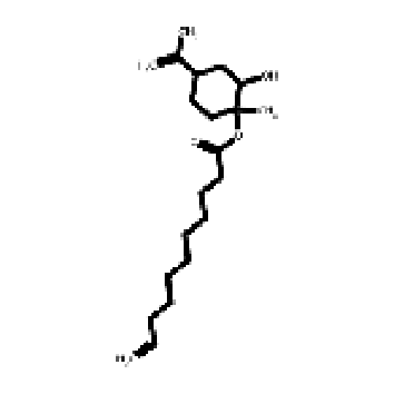 C=CCCCCCCCCC(=O)OC1(C)CCC(C(=C)C)CC1O